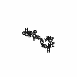 C=C/C(F)=C(\N=C(/C)NC1CCN(SC2CCN(CC3CCN(c4cc(C=O)c(C(=O)N(C)C5CCC(=O)NC5=O)cc4F)CC3)CC2)CC1)c1cc(F)c2nc(C)n(C(C)C)c2c1